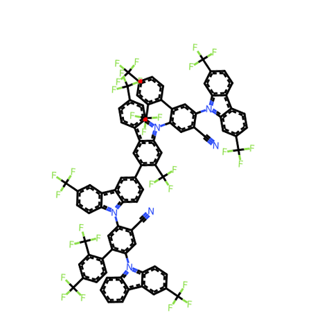 N#Cc1cc(-n2c3ccccc3c3cc(C(F)(F)F)ccc32)c(-c2ccc(C(F)(F)F)cc2C(F)(F)F)cc1-n1c2ccc(-c3cc4c5ccc(C(F)(F)F)cc5n(-c5cc(C#N)c(-n6c7cc(C(F)(F)F)ccc7c7ccc(C(F)(F)F)cc76)cc5-c5ccc(C(F)(F)F)cc5C(F)(F)F)c4cc3C(F)(F)F)cc2c2cc(C(F)(F)F)ccc21